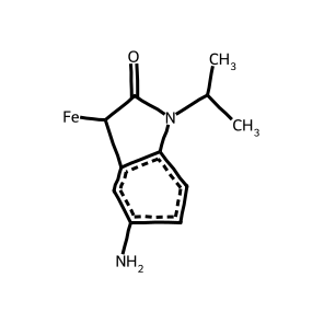 CC(C)N1C(=O)[CH]([Fe])c2cc(N)ccc21